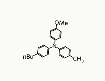 CCCCc1ccc(N(c2ccc(C)cc2)c2ccc(OC)cc2)cc1